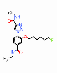 CC(C)(C)NC(=O)c1cn(-c2ccc(C(=O)NCC(F)(F)F)cc2OCCCCCCF)nn1